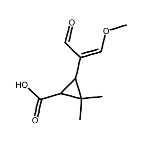 CO/C=C(\C=O)C1C(C(=O)O)C1(C)C